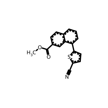 COC(=O)c1ccc2cccc(-c3ccc(C#N)s3)c2c1